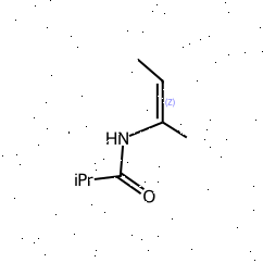 C/C=C(/C)NC(=O)C(C)C